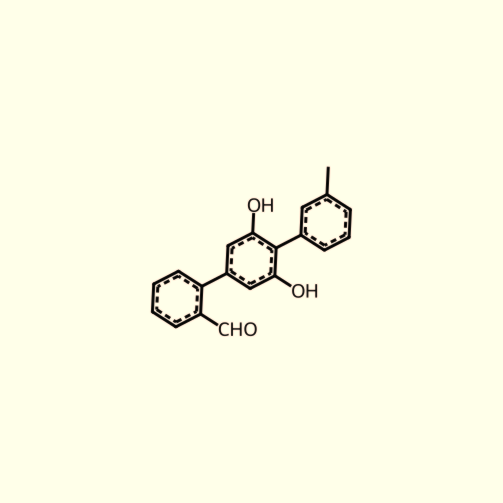 Cc1cccc(-c2c(O)cc(-c3ccccc3C=O)cc2O)c1